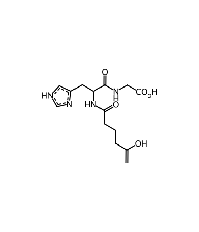 C=C(O)CCCC(=O)NC(Cc1c[nH]cn1)C(=O)NCC(=O)O